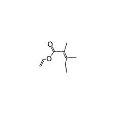 C=COC(=O)C(C)=C(C)CC